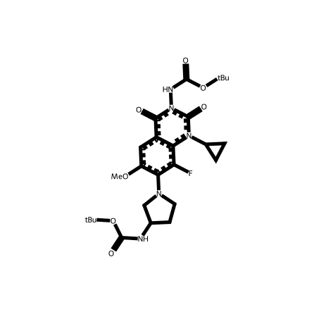 COc1cc2c(=O)n(NC(=O)OC(C)(C)C)c(=O)n(C3CC3)c2c(F)c1N1CCC(NC(=O)OC(C)(C)C)C1